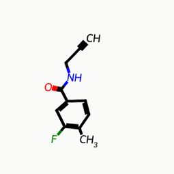 C#CCNC(=O)c1ccc(C)c(F)c1